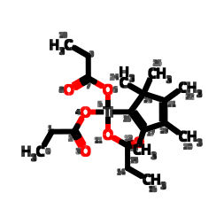 CCC(=O)[O][Ti]([O]C(=O)CC)([O]C(=O)CC)[C]1=C(C)C(C)=C(C)C1(C)C